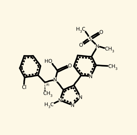 Cc1nc(-c2nnn(C)c2N(C(=O)O)[C@H](C)c2ccccc2Cl)ccc1N(C)S(C)(=O)=O